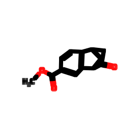 COC(=O)c1ccc2c(c1)C1CC2CC1=O